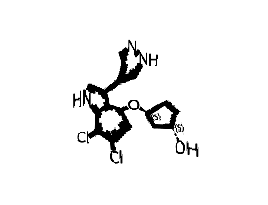 O[C@H]1CC[C@H](Oc2cc(Cl)c(Cl)c3[nH]cc(-c4cn[nH]c4)c23)C1